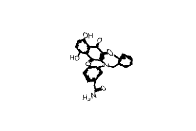 NC(=O)c1cccc(N2Cc3ccccc3OC3=C2C(=O)c2c(O)ccc(O)c2C3=O)c1